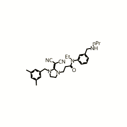 CCCNCc1cccc(N(CC)C(=O)CCN2CCN(Cc3cc(C)cc(C)c3)C2=C(C#N)C#N)c1